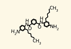 CCCCCCc1cc(N)ccc1NC(=O)c1cccc(C(=O)Nc2ccc(N)cc2CCCCCC)c1